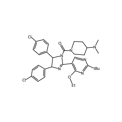 CCOc1nc(C(C)(C)C)ncc1C1=NC(c2ccc(Cl)cc2)C(c2ccc(Cl)cc2)N1C(=O)N1CCC(N(C)C)CC1